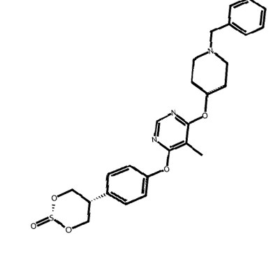 Cc1c(Oc2ccc([C@H]3CO[S@@](=O)OC3)cc2)ncnc1OC1CCN(Cc2ccccc2)CC1